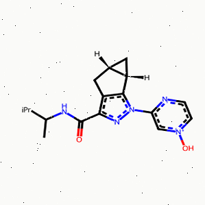 CC(C)C(C)NC(=O)c1nn(-c2c[n+](O)ccn2)c2c1C[C@@H]1C[C@H]21